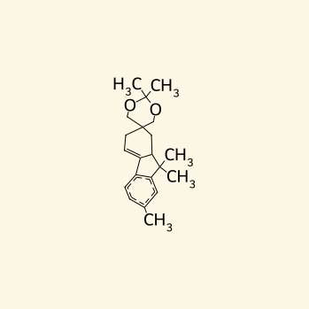 Cc1ccc2c(c1)C(C)(C)C1CC3(CC=C21)COC(C)(C)OC3